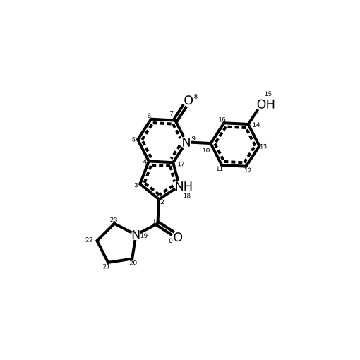 O=C(c1cc2ccc(=O)n(-c3cccc(O)c3)c2[nH]1)N1CCCC1